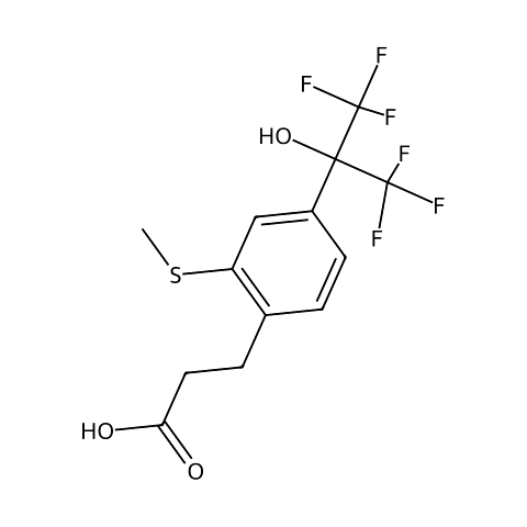 CSc1cc(C(O)(C(F)(F)F)C(F)(F)F)ccc1CCC(=O)O